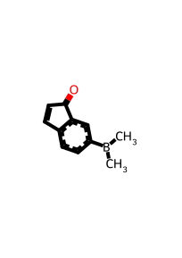 CB(C)c1ccc2c(c1)C(=O)C=C2